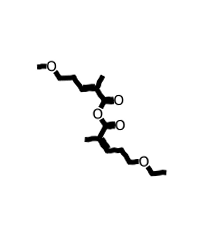 CCOCCC=C(C)C(=O)OC(=O)C(C)=CCCOC